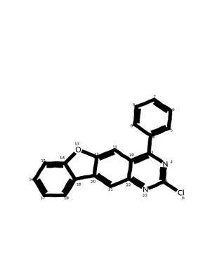 Clc1nc(-c2ccccc2)c2cc3oc4ccccc4c3cc2n1